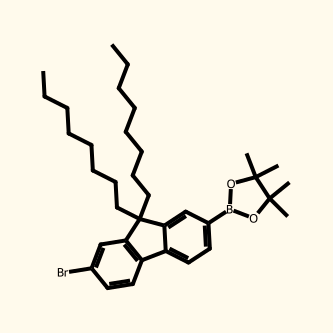 CCCCCCCCC1(CCCCCCCC)c2cc(Br)ccc2-c2ccc(B3OC(C)(C)C(C)(C)O3)cc21